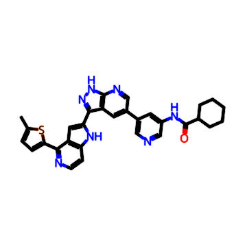 Cc1ccc(-c2nccc3[nH]c(-c4n[nH]c5ncc(-c6cncc(NC(=O)C7CCCCC7)c6)cc45)cc23)s1